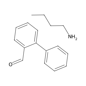 CCCCN.O=Cc1ccccc1-c1ccccc1